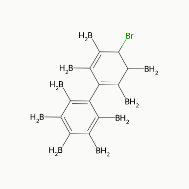 BC1=C(B)C(Br)C(B)C(B)=C1c1c(B)c(B)c(B)c(B)c1B